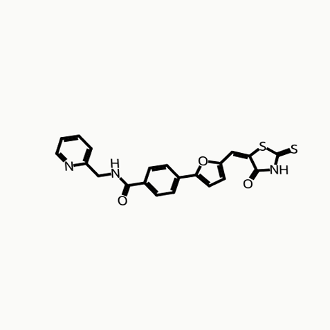 O=C1NC(=S)S/C1=C/c1ccc(-c2ccc(C(=O)NCc3ccccn3)cc2)o1